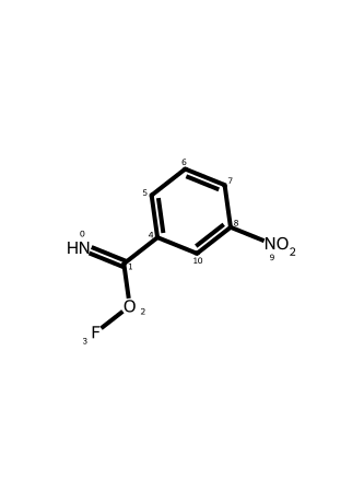 N=C(OF)c1cccc([N+](=O)[O-])c1